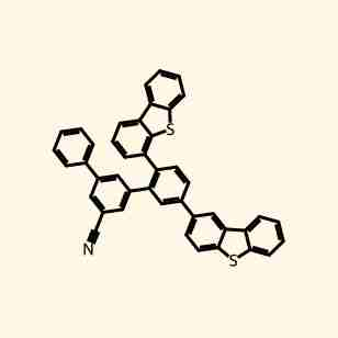 N#Cc1cc(-c2ccccc2)cc(-c2cc(-c3ccc4sc5ccccc5c4c3)ccc2-c2cccc3c2sc2ccccc23)c1